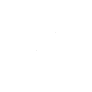 CC(C)C1=CC[C]([Zr]([CH3])([CH3])(=[SiH2])[C]2=C(c3ccncc3)C(C(C)C)=CC2)=C1c1ccncc1.Cl.Cl